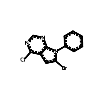 Clc1ncnc2c1cc(Br)n2-c1ccccc1